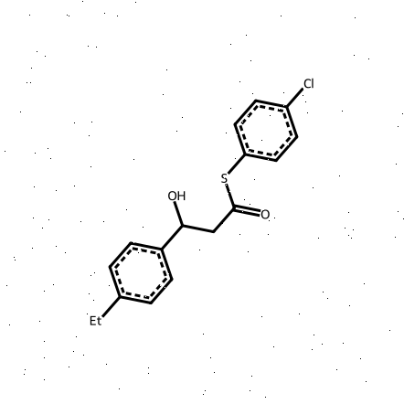 CCc1ccc(C(O)CC(=O)Sc2ccc(Cl)cc2)cc1